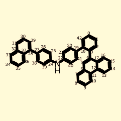 c1ccc(-c2cc3ccccc3c3ccccc23)c(-c2ccc(Nc3ccc(-c4cccc5ccccc45)cc3)cc2)c1